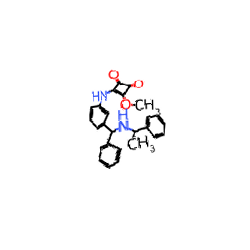 COc1c(Nc2cccc(C(N[C@H](C)c3ccccc3)c3ccccc3)c2)c(=O)c1=O